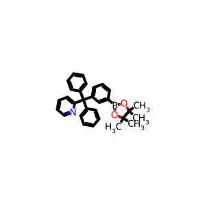 CC1(C)OB(c2cccc(C(c3ccccc3)(c3ccccc3)c3ccccn3)c2)OC1(C)C